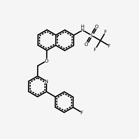 O=S(=O)(Nc1ccc2c(OCc3cccc(-c4ccc(F)cc4)n3)cccc2c1)C(F)(F)F